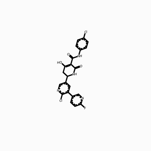 O=C(Nc1ccc(Cl)cc1)C1=C(O)CC(c2cnc(Cl)c(-c3ccc(F)nc3)c2)NC1=O